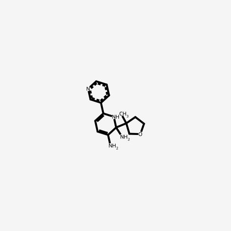 CC1(C2(N)NC(c3cccnc3)=CC=C2N)CCOC1